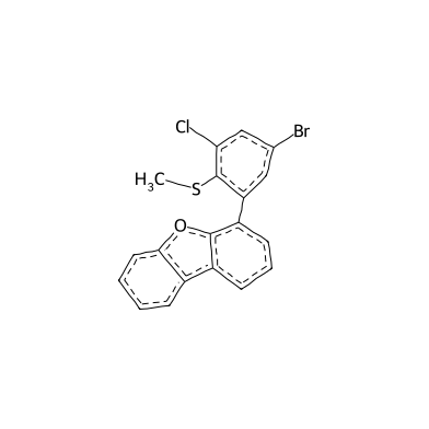 CSc1c(Cl)cc(Br)cc1-c1cccc2c1oc1ccccc12